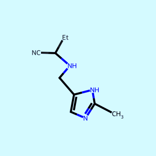 CCC(C#N)NCc1cnc(C)[nH]1